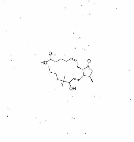 CCCCC(C)(C)[C@H](O)/C=C/C1[C@H](C)CC(=O)[C@@H]1C/C=C\CCCC(=O)O